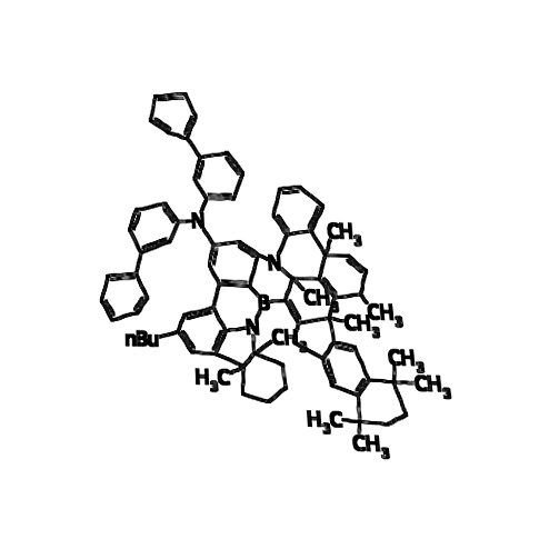 CCCCc1cc2c3c(c1)C1(C)CCCCC1(C)N3B1C3=C4Cc5cc6c(cc5C4(C)C4=C5C(C)(C=CC4C)c4ccccc4N(c4cc(N(c7cccc(-c8ccccc8)c7)c7cccc(-c8ccccc8)c7)cc-2c41)C35C)C(C)(C)CCC6(C)C